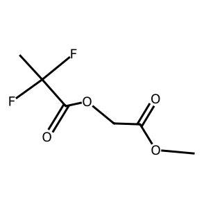 COC(=O)COC(=O)C(C)(F)F